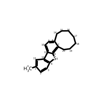 Cc1ccc2sc3c4c(ccc3c2c1)CCCCCCC4